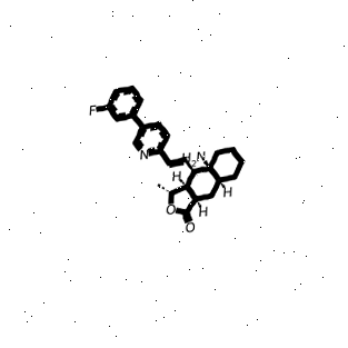 C[C@H]1OC(=O)[C@@H]2C[C@@H]3CCCC[C@@]3(N)[C@H](/C=C/c3ccc(-c4cccc(F)c4)cn3)[C@H]12